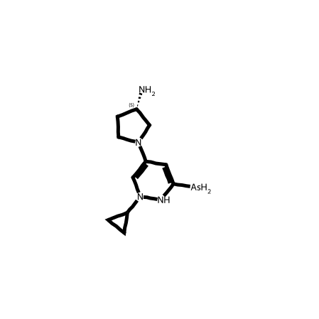 N[C@H]1CCN(C2=CN(C3CC3)NC([AsH2])=C2)C1